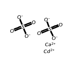 O=S(=O)([O-])[O-].O=S(=O)([O-])[O-].[Ca+2].[Cd+2]